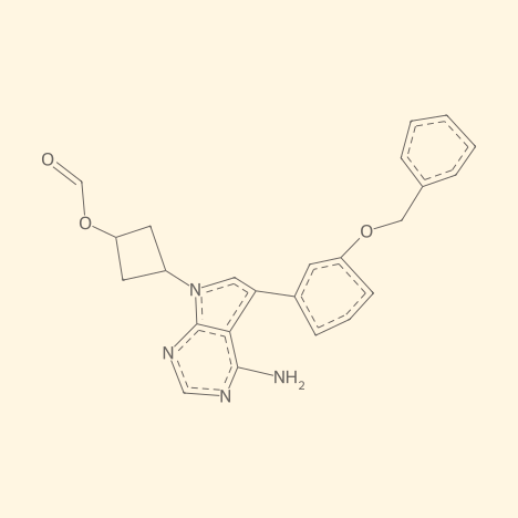 Nc1ncnc2c1c(-c1cccc(OCc3ccccc3)c1)cn2C1CC(OC=O)C1